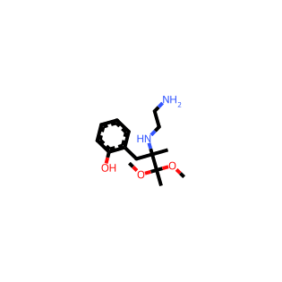 COC(C)(OC)C(C)(Cc1ccccc1O)NCCN